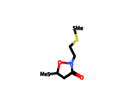 CSSCCN1OC(SC)CC1=O